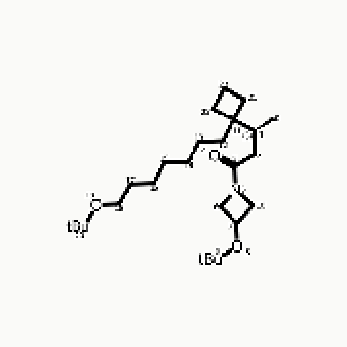 C[C@@H](CC(=O)N1CC(OC(C)(C)C)C1)C1(CCCCCCCOC(C)(C)C)CCC1